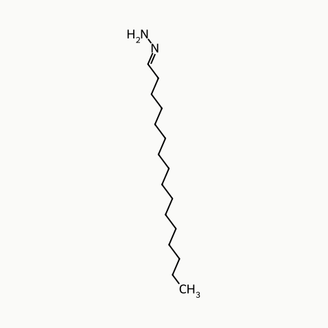 CCCCCCCCCCCCCCCC=NN